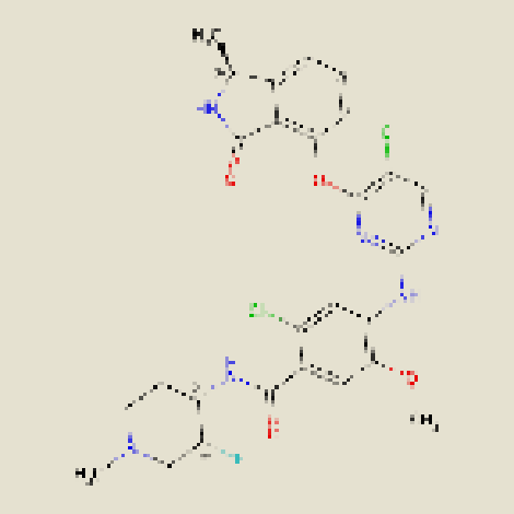 COc1cc(C(=O)N[C@H]2CCN(C)C[C@H]2F)c(Cl)cc1Nc1ncc(Cl)c(Oc2cccc3c2C(=O)N[C@H]3C)n1